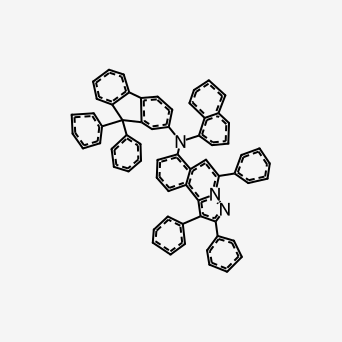 c1ccc(-c2nn3c(-c4ccccc4)cc4c(N(c5ccc6c(c5)C(c5ccccc5)(c5ccccc5)c5ccccc5-6)c5cccc6ccccc56)cccc4c3c2-c2ccccc2)cc1